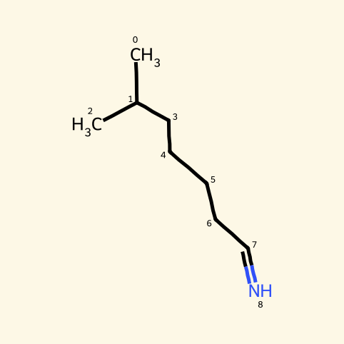 CC(C)CCCCC=N